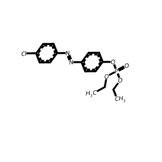 CCOP(=O)(OCC)Oc1ccc(N=Nc2ccc(Cl)cc2)cc1